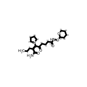 CCCC(C(N)=O)=C(C(=O)CCCC(=O)NOC1CCCCO1)N1CCCC1